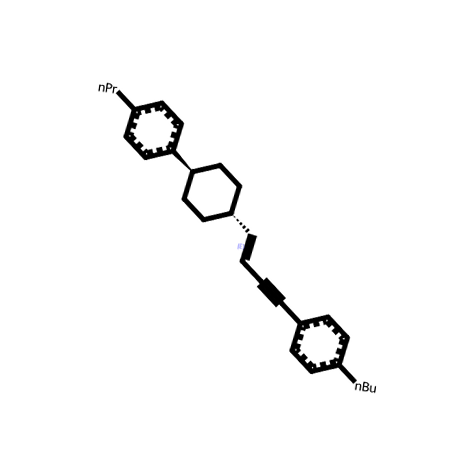 CCCCc1ccc(C#C/C=C/[C@H]2CC[C@H](c3ccc(CCC)cc3)CC2)cc1